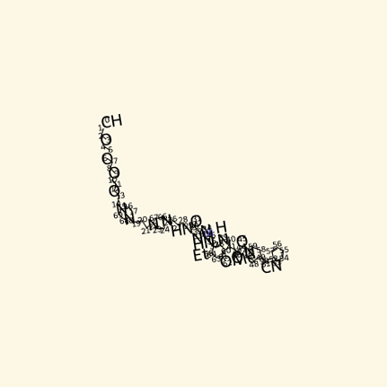 C#CCOCCOCCOCCOCCN1CCN(CCCN2CCN(CCCNC(=O)C(=N)/N=C\NC3=c4[nH]cc(C(=O)C(=O)N5CCC(=C(C#N)c6ccccc6)CC5)c4=C(OC)CC3CC)CC2)CC1